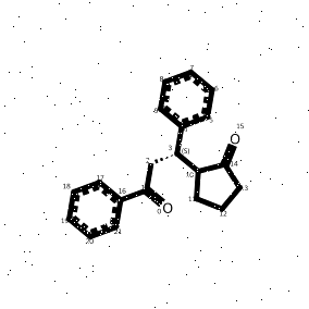 O=C(C[C@H](c1ccccc1)C1CCCC1=O)c1ccccc1